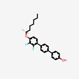 CCCCCC[C@@H](C)Oc1ccc(-c2ccc(-c3ccc(O)cc3)cc2)c(F)c1F